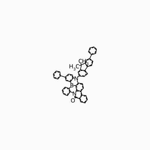 CC1(C)c2cc(-c3ccccc3)ccc2-c2ccc(N3c4ccc(-c5ccccc5)cc4B4c5ccccc5-n5c(=O)c6ccccc6c6ccc3c4c65)cc21